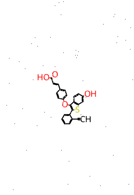 C#Cc1ccccc1-c1sc2cc(O)ccc2c1Oc1ccc(C=CC(=O)O)cc1